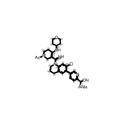 CNC(O)c1ccc(-c2cc3c(cc2Cl)N(C(=N)C2=C(NC4CCOCC4)CCN(C(C)=O)C2)CCC3)cn1